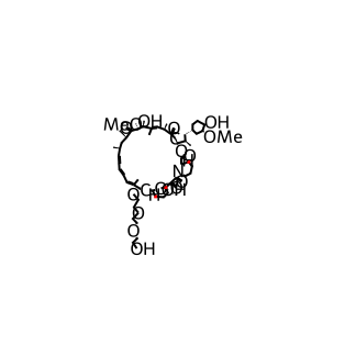 CO[C@@H]1C[C@H](C[C@@H](C)[C@@H]2CC(=O)[C@H](C)/C=C(\C)[C@H](O)[C@@H](OC)C(=O)[C@H](C)C[C@H](C)/C=C/C=C/C=C(\C)[C@@H](OCCOCCOCCO)C[C@@H]3CC[C@@H](C)[C@@](O)(O3)C(=O)C(=O)N3CCCC[C@H]3C(=O)O2)CC[C@H]1O